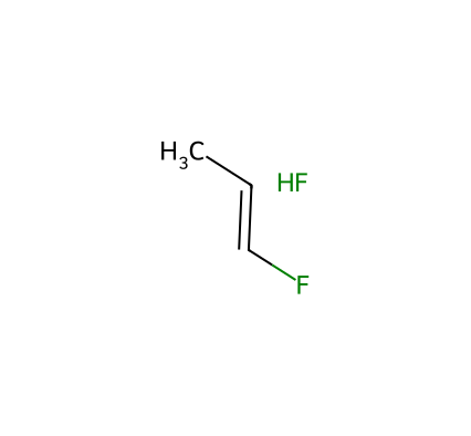 CC=CF.F